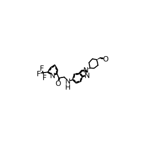 O=C[C@H]1CC[C@H](n2cc3cc(NCC(=O)c4cccc(C(F)(F)F)n4)ccc3n2)CC1